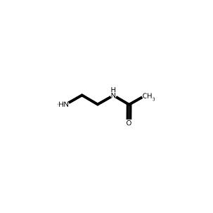 CC(=O)NCC[NH]